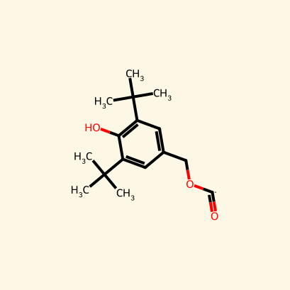 CC(C)(C)c1cc(CO[C]=O)cc(C(C)(C)C)c1O